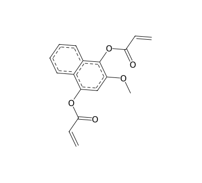 C=CC(=O)Oc1cc(OC)c(OC(=O)C=C)c2ccccc12